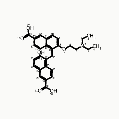 CCN(CC)CCOc1ccc2cc(C(=O)O)ccc2c1Cc1c(O)ccc2cc(C(=O)O)ccc12